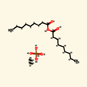 CCCCCCCCC(=O)OC(=O)CCCCCCCC.O=S(=O)([O-])[O-].[Na+].[Na+]